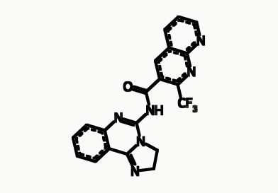 O=C(NC1=Nc2ccccc2C2=NCCN12)c1cc2cccnc2nc1C(F)(F)F